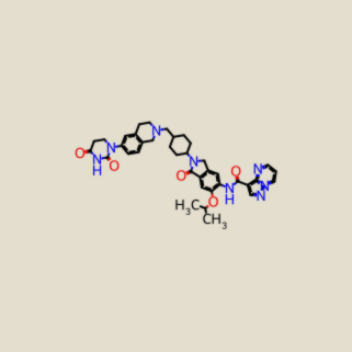 CC(C)Oc1cc2c(cc1NC(=O)c1cnn3cccnc13)CN(C1CCC(CN3CCc4cc(N5CCC(=O)NC5=O)ccc4C3)CC1)C2=O